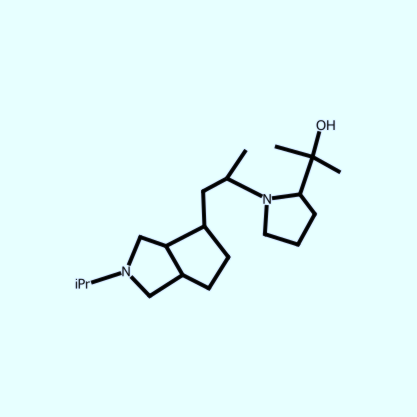 CC(C)N1CC2CCC(CC(C)N3CCCC3C(C)(C)O)C2C1